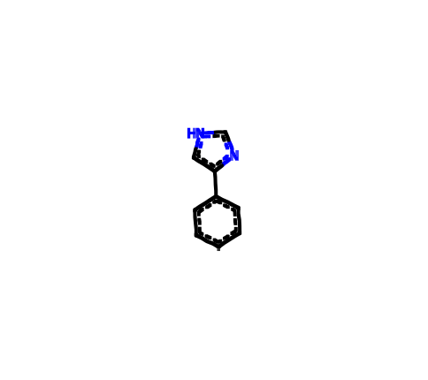 [c]1ccc(-c2c[nH]cn2)cc1